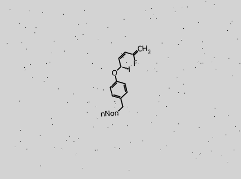 C=C(F)/C=C\[C@@H](I)Oc1ccc(CCCCCCCCCC)cc1